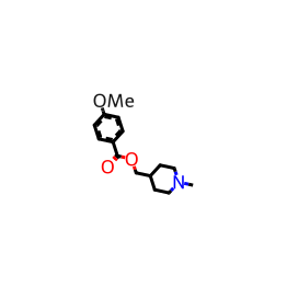 COc1ccc(C(=O)OCC2CCN(C)CC2)cc1